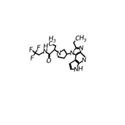 CCc1nc2cnc3[nH]ccc3c2n1C1CCN(C(CC)C(=O)NCC(F)(F)F)C1